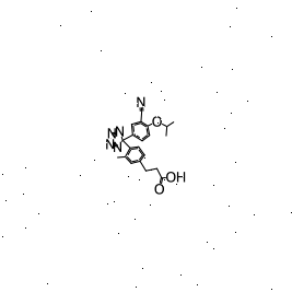 Cc1cc(CCC(=O)O)ccc1C1(c2ccc(OC(C)C)c(C#N)c2)N=NN=N1